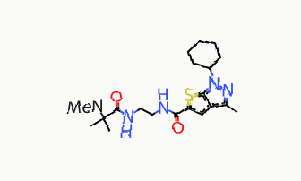 CNC(C)(C)C(=O)NCCNC(=O)c1cc2c(C)nn(C3CCCCC3)c2s1